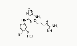 Cl.N=C(N)NCCCON=C(Nc1ccc(Br)c(F)c1)c1nonc1N